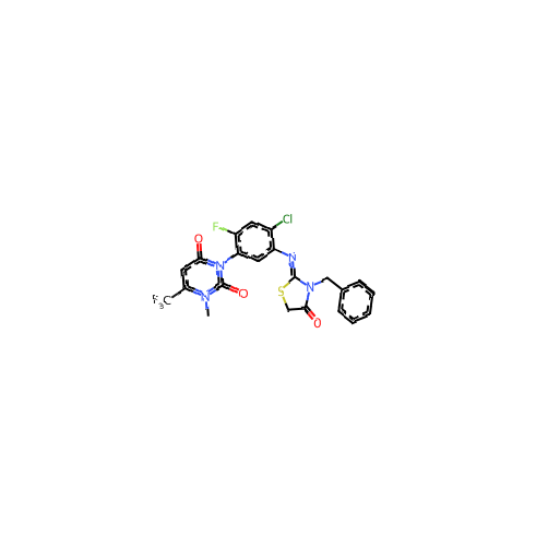 Cn1c(C(F)(F)F)cc(=O)n(-c2cc(N=C3SCC(=O)N3Cc3ccccc3)c(Cl)cc2F)c1=O